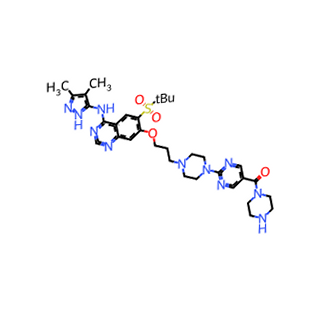 Cc1n[nH]c(Nc2ncnc3cc(OCCCN4CCN(c5ncc(C(=O)N6CCNCC6)cn5)CC4)c(S(=O)(=O)C(C)(C)C)cc23)c1C